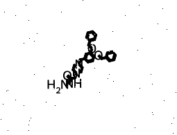 NNC(=O)CN1CCN(Cc2ccc(OCc3ccccc3)c(OCc3ccccc3)c2)CC1